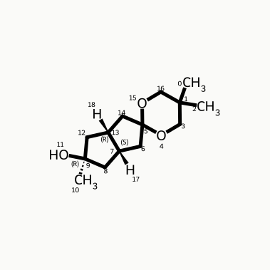 CC1(C)COC2(C[C@@H]3C[C@@](C)(O)C[C@@H]3C2)OC1